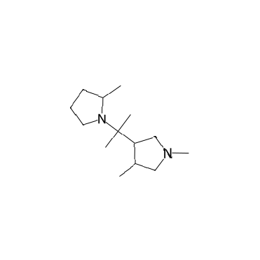 CC1CN(C)CC1C(C)(C)N1CCCC1C